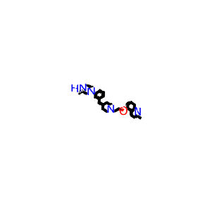 Cc1ccc2c(OCCN3CCC(=Cc4cccc(N5CCN[C@H](C)C5)c4)CC3)cccc2n1